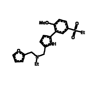 CCN(Cc1ccc(-c2cc(S(=O)(=O)CC)ccc2OC)[nH]1)Cc1ccco1